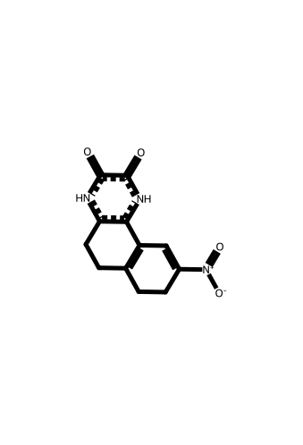 O=c1[nH]c2c([nH]c1=O)C1=C(CCC([N+](=O)[O-])=C1)CC2